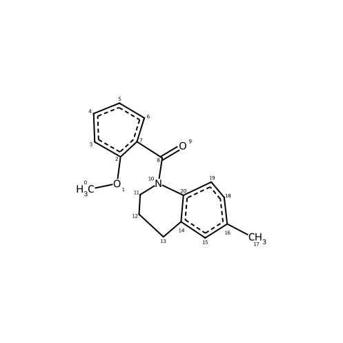 COc1ccccc1C(=O)N1CCCc2cc(C)ccc21